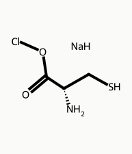 N[C@@H](CS)C(=O)OCl.[NaH]